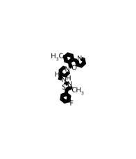 Cc1ccc(-c2ccccn2)c(C(=O)N2CC[C@H]3CN(c4nc(C)c(-c5cccc(F)c5)s4)[C@H]3C2)c1